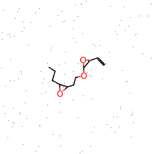 C=CC1OC1OCCC1OC1CCC